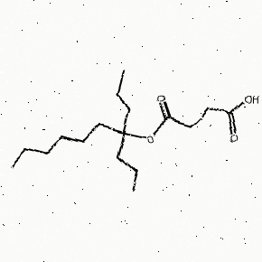 CCCCCCC(CCC)(CCC)OC(=O)CCC(=O)O